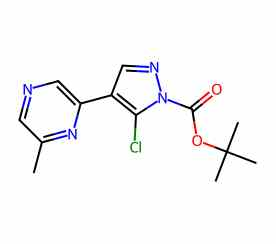 Cc1cncc(-c2cnn(C(=O)OC(C)(C)C)c2Cl)n1